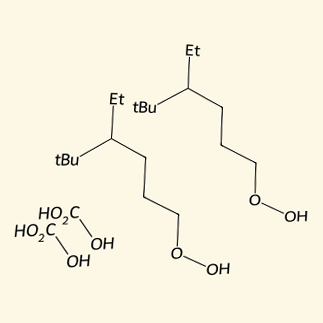 CCC(CCCOO)C(C)(C)C.CCC(CCCOO)C(C)(C)C.O=C(O)O.O=C(O)O